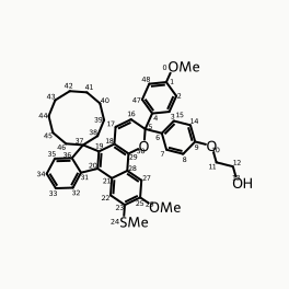 COc1ccc(C2(c3ccc(OCCO)cc3)C=Cc3c4c(c5cc(SC)c(OC)cc5c3O2)-c2ccccc2C42CCCCCCCCC2)cc1